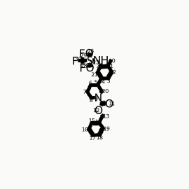 Cc1ccc(C2CCCN(C(=O)OCc3ccccc3)C2)cc1NS(=O)(=O)C(F)(F)F